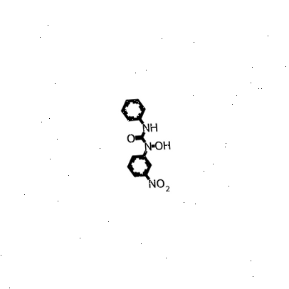 O=C(Nc1ccccc1)N(O)c1cccc([N+](=O)[O-])c1